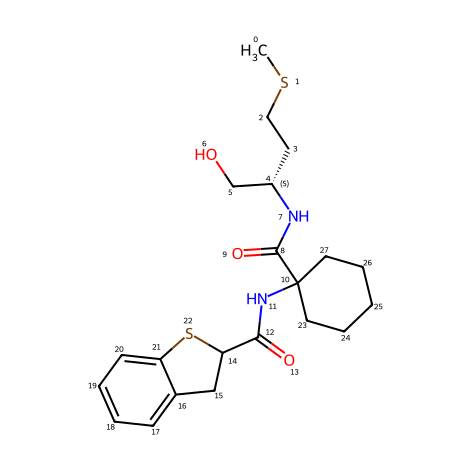 CSCC[C@@H](CO)NC(=O)C1(NC(=O)C2Cc3ccccc3S2)CCCCC1